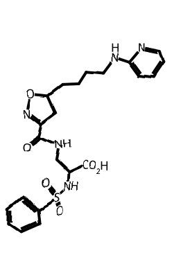 O=C(NCC(NS(=O)(=O)c1ccccc1)C(=O)O)C1=NOC(CCCCNc2ccccn2)C1